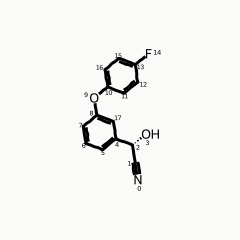 N#C[C@@H](O)c1cccc(Oc2ccc(F)cc2)c1